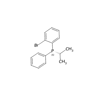 CC(C)[P@](c1ccccc1)c1ccccc1Br